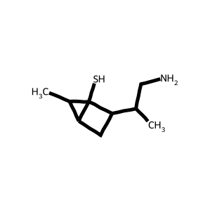 CC(CN)C1CC2C(C)C12S